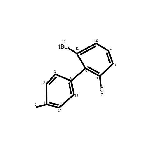 Cc1ccc(-c2c(Cl)[c]ccc2C(C)(C)C)cc1